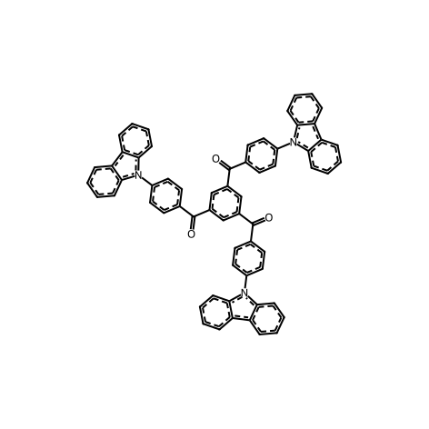 O=C(c1ccc(-n2c3ccccc3c3ccccc32)cc1)c1cc(C(=O)c2ccc(-n3c4ccccc4c4ccccc43)cc2)cc(C(=O)c2ccc(-n3c4ccccc4c4ccccc43)cc2)c1